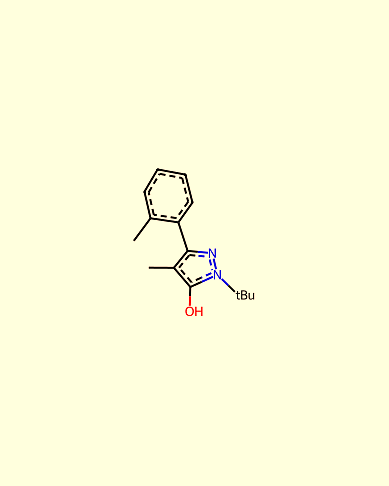 Cc1ccccc1-c1nn(C(C)(C)C)c(O)c1C